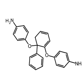 Nc1ccc(OC2=CC=CCC2(Oc2ccc(N)cc2)c2ccccc2)cc1